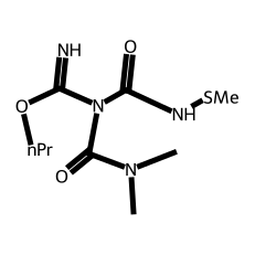 CCCOC(=N)N(C(=O)NSC)C(=O)N(C)C